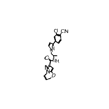 CC(Cn1ccc(-c2ccc(C#N)c(Cl)c2)n1)NC(=O)c1cc2n(n1)CCCO2